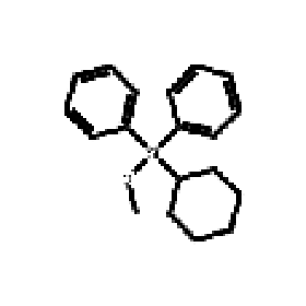 CO[Si](c1ccccc1)(c1ccccc1)C1CCCCC1